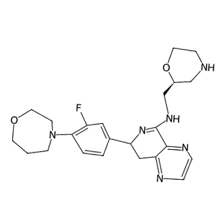 Fc1cc(C2Cc3nccnc3C(NC[C@@H]3CNCCO3)=N2)ccc1N1CCCOCC1